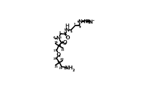 CN(CC(=O)NCCCN=[N+]=[N-])C(=O)C(C)(C)COCC(C)(C)CN